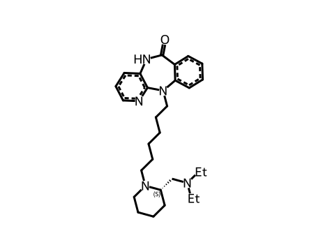 CCN(CC)C[C@@H]1CCCCN1CCCCCCN1c2ccccc2C(=O)Nc2cccnc21